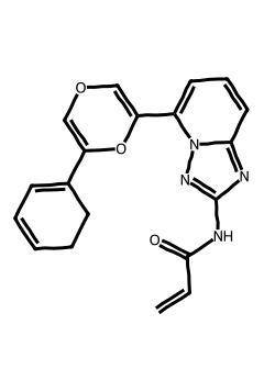 C=CC(=O)Nc1nc2cccc(C3=COC=C(C4=CC=CCC4)O3)n2n1